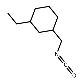 CCC1CCCC(CN=C=O)C1